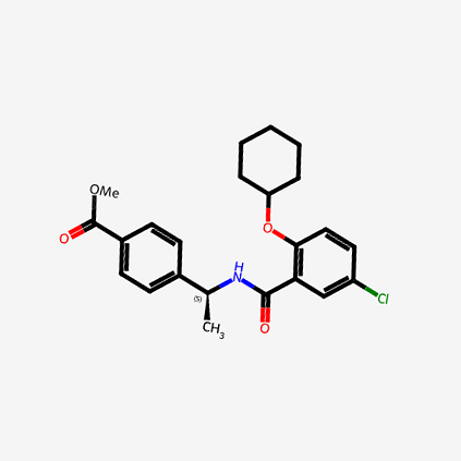 COC(=O)c1ccc([C@H](C)NC(=O)c2cc(Cl)ccc2OC2CCCCC2)cc1